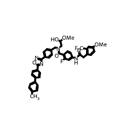 COc1ccc(CC(=O)Nc2ccc(C(=O)N(Cc3ccc(-c4noc(-c5ccc(-c6ccc(C)cc6)cc5)n4)cc3)CC(O)OC)c(F)c2)c(C(F)(F)F)c1